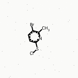 Cc1nc(SCl)ccc1Br